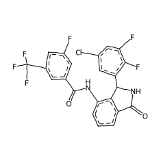 O=C(Nc1cccc2c1C(c1cc(Cl)cc(F)c1F)NC2=O)c1cc(F)cc(C(F)(F)F)c1